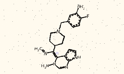 C=N/C(=C1/c2cc[nH]c2N=CN1N)C1CCN(Cc2ccc(F)c(N)c2)CC1